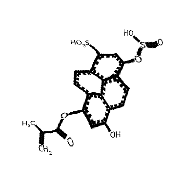 C=C(C)C(=O)Oc1cc(O)c2ccc3c(OS(=O)O)cc(S(=O)(=O)O)c4ccc1c2c34